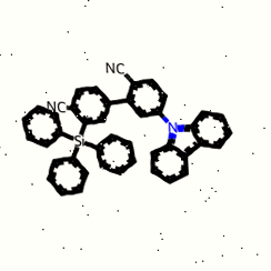 N#Cc1ccc(-n2c3ccccc3c3ccccc32)cc1-c1ccc(C#N)c([Si](c2ccccc2)(c2ccccc2)c2ccccc2)c1